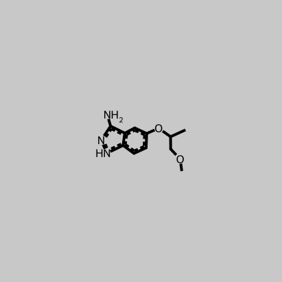 COCC(C)Oc1ccc2[nH]nc(N)c2c1